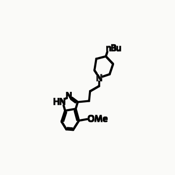 CCCCC1CCN(CCCc2n[nH]c3cccc(OC)c23)CC1